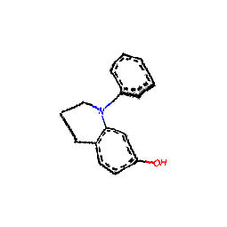 Oc1ccc2c(c1)N(c1ccccc1)CCC2